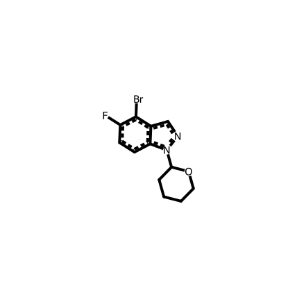 Fc1ccc2c(cnn2C2CCCCO2)c1Br